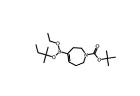 CCOB(OC(C)(C)CC)C1=CCCN(C(=O)OC(C)(C)C)CC1